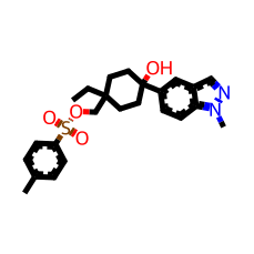 CCC1(COS(=O)(=O)c2ccc(C)cc2)CCC(O)(c2ccc3c(cnn3C)c2)CC1